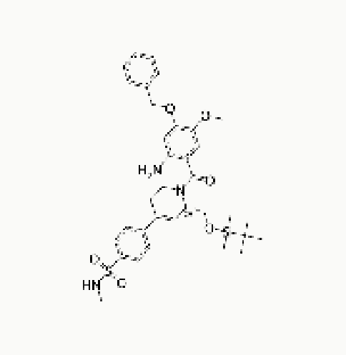 CNS(=O)(=O)c1ccc(C2=C[C@@H](CO[Si](C)(C)C(C)(C)C)N(C(=O)c3cc(OC)c(OCc4ccccc4)cc3N)CC2)cc1